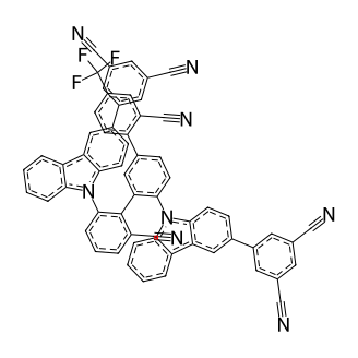 N#Cc1cc(C#N)cc(-c2ccc3c(c2)c2ccccc2n3-c2ccc(-c3ccc(C(F)(F)F)cc3C#N)cc2-c2c(C#N)cccc2-n2c3ccccc3c3cc(-c4cc(C#N)cc(C#N)c4)ccc32)c1